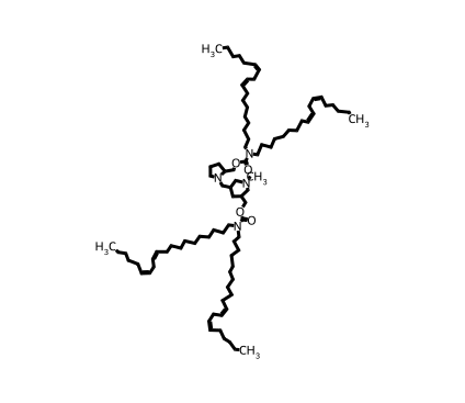 CCCCC/C=C\C/C=C\CCCCCCCCCCN(CCCCCCCCCC/C=C\C/C=C\CCCCC)C(=O)OCC1CC(CN2CCCC2COC(=O)N(CCCCCCCC/C=C\C/C=C\CCCCC)CCCCCCCC/C=C\C/C=C\CCCCC)CN(C)C1